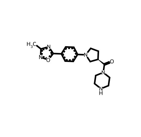 Cc1noc(-c2ccc(N3CC[C@@H](C(=O)N4CCNCC4)C3)cc2)n1